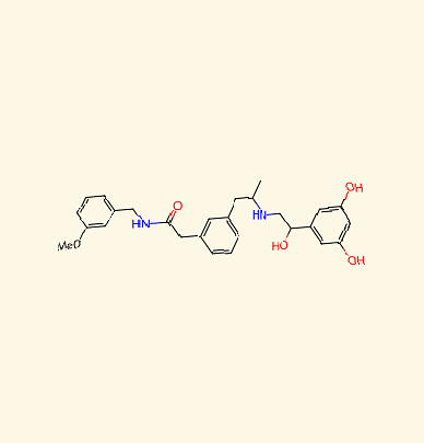 COc1cccc(CNC(=O)Cc2cccc(CC(C)NCC(O)c3cc(O)cc(O)c3)c2)c1